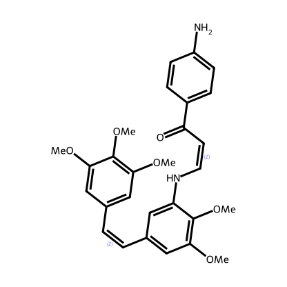 COc1cc(/C=C\c2cc(OC)c(OC)c(OC)c2)cc(N/C=C\C(=O)c2ccc(N)cc2)c1OC